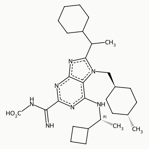 CC(c1nc2nc(C(=N)NC(=O)O)nc(N[C@H](C)C3CCC3)c2n1C[C@H]1CC[C@H](C)CC1)C1CCCCC1